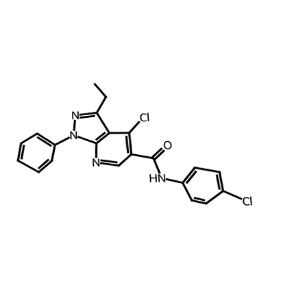 CCc1nn(-c2ccccc2)c2ncc(C(=O)Nc3ccc(Cl)cc3)c(Cl)c12